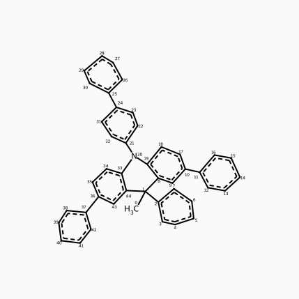 CC1(c2ccccc2)c2cc(-c3ccccc3)ccc2N(c2ccc(-c3ccccc3)cc2)c2ccc(-c3ccccc3)cc21